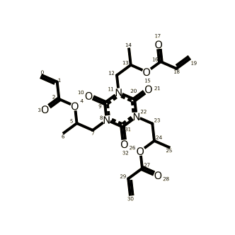 C=CC(=O)OC(C)Cn1c(=O)n(CC(C)OC(=O)C=C)c(=O)n(CC(C)OC(=O)C=C)c1=O